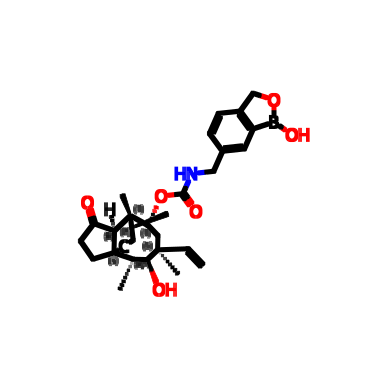 C=C[C@]1(C)C[C@@H](OC(=O)NCc2ccc3c(c2)B(O)OC3)[C@]2(C)[C@H](C)CC[C@]3(CCC(=O)[C@H]32)[C@@H](C)[C@@H]1O